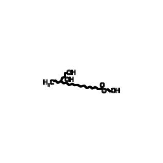 CCCC(CCCCCCCCCCCCCC(=O)OCCO)CC(O)CO